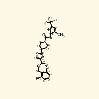 Cc1cc(C(F)(F)F)nn1CC(=O)N1CCC(c2nc(C3OCc4cccc(F)c4CO3)cs2)CC1